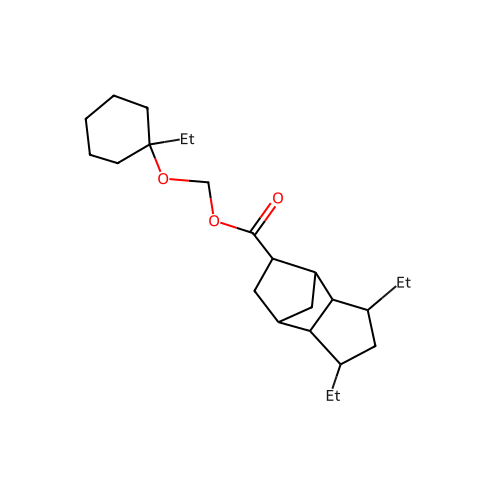 CCC1CC(CC)C2C3CC(CC3C(=O)OCOC3(CC)CCCCC3)C12